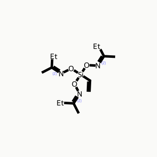 C=C[Si](O/N=C(/C)CC)(O/N=C(/C)CC)O/N=C(/C)CC